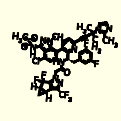 Cc1nccn1C(C)(C)C#Cc1ccc(-c2ccc(Cl)c3c(NS(C)(=O)=O)nn(C)c23)c([C@H](Cc2cc(F)cc(F)c2)NC(=O)Cn2nc(C(F)(F)F)c3c2C(F)(F)[C@@H]2C[C@H]32)n1